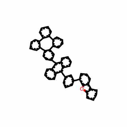 c1cc(-c2c3ccccc3c(-c3ccc4c(c3)-c3ccccc3-c3ccccc3-c3ccccc3-4)c3ccccc23)cc(-c2cccc3c2oc2ccccc23)c1